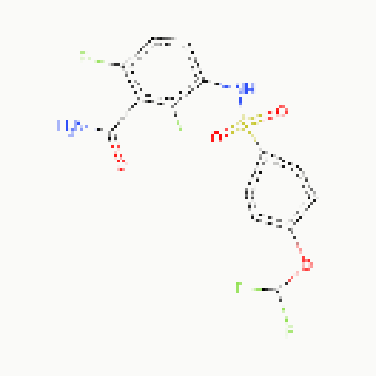 NC(=O)c1c(F)ccc(NS(=O)(=O)c2ccc(OC(F)F)cc2)c1F